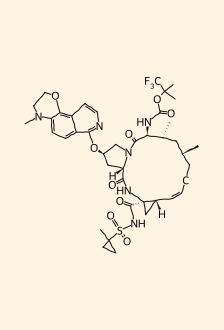 C[C@H]1CC/C=C\[C@@H]2C[C@@]2(C(=O)NS(=O)(=O)C2(C)CC2)NC(=O)[C@@H]2C[C@@H](Oc3nccc4c5c(ccc34)N(C)CCO5)CN2C(=O)[C@@H](NC(=O)OC(C)(C)C(F)(F)F)[C@H](C)C1